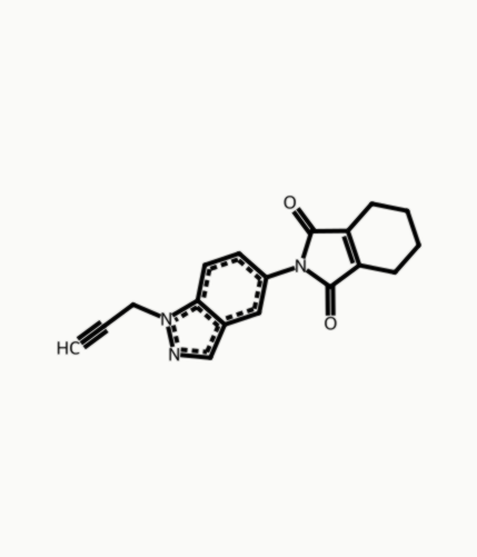 C#CCn1ncc2cc(N3C(=O)C4=C(CCCC4)C3=O)ccc21